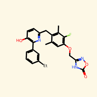 CCc1cccc(-c2nc(Cc3c(C)cc(OCc4noc(=O)[nH]4)c(F)c3C)ccc2O)c1